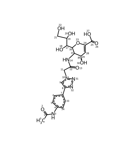 CC(=O)Nc1ccc(-c2cn(CC(=O)NC3C(C(O)C(O)CO)OC(C(=O)O)=C[C@H]3O)nn2)cc1